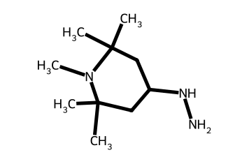 CN1C(C)(C)CC(NN)CC1(C)C